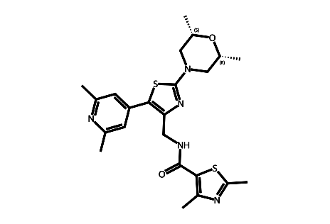 Cc1cc(-c2sc(N3C[C@@H](C)O[C@@H](C)C3)nc2CNC(=O)c2sc(C)nc2C)cc(C)n1